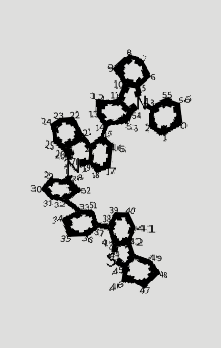 c1ccc(-n2c3ccccc3c3ccc(-c4cccc5c4c4ccccc4n5-c4cccc(-c5cccc(-c6cccc7c6sc6ccccc67)c5)c4)cc32)cc1